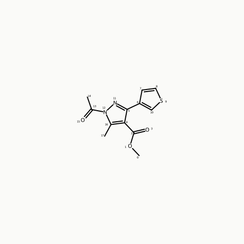 COC(=O)c1c(-c2ccsc2)nn(C(C)=O)c1C